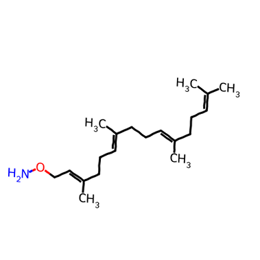 CC(C)=CCCC(C)=CCCC(C)=CCCC(C)=CCON